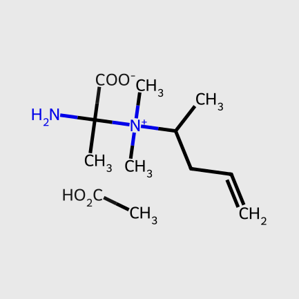 C=CCC(C)[N+](C)(C)C(C)(N)C(=O)[O-].CC(=O)O